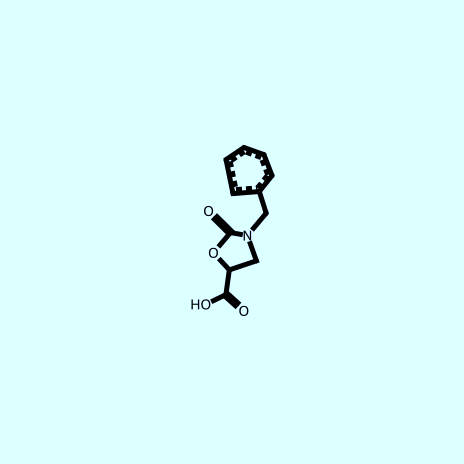 O=C(O)C1CN(Cc2ccccc2)C(=O)O1